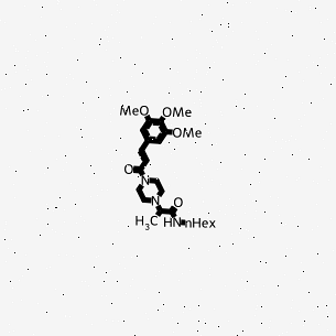 CCCCCCNC(=O)C(C)N1CCN(C(=O)/C=C/c2cc(OC)c(OC)c(OC)c2)CC1